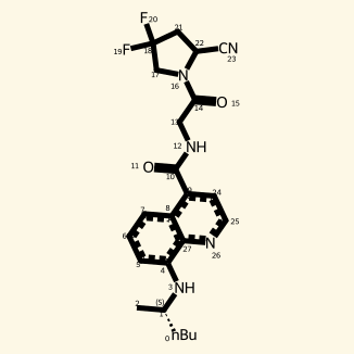 CCCC[C@H](C)Nc1cccc2c(C(=O)NCC(=O)N3CC(F)(F)CC3C#N)ccnc12